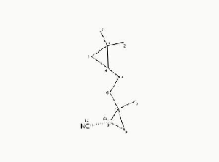 CC1(C)CC1CCC1(C)C[C@@H]1C#N